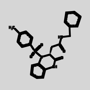 Cc1ccc(S(=O)(=O)N2c3ccccc3NC(=O)[C@H]2CC(=O)NCc2ccccc2)cc1